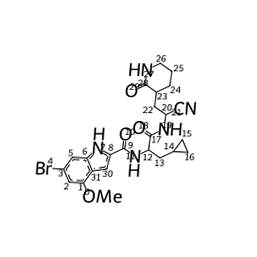 COc1cc(Br)cc2[nH]c(C(=O)NC(CC3CC3)C(=O)NC(C#N)CC3CCCNC3=O)cc12